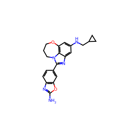 Nc1nc2ccc(-c3nc4cc(NCC5CC5)cc5c4n3CCCO5)cc2o1